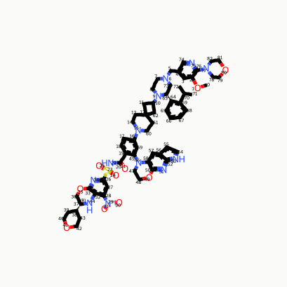 COc1cc(CN2CCN(C3CC4(CCN(c5ccc(C(=O)NS(=O)(=O)c6cc([N+](=O)[O-])c7c(n6)OC[C@@H](C6CCOCC6)N7)c(N6CCOc7nc8[nH]ccc8cc76)c5)CC4)C3)[C@@H](c3ccccc3C(C)C)C2)cnc1N1CCOCC1